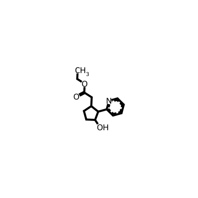 CCOC(=O)CC1CCC(O)C1c1ccccn1